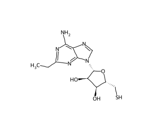 CCc1nc(N)c2ncn([C@@H]3O[C@H](CS)[C@@H](O)[C@H]3O)c2n1